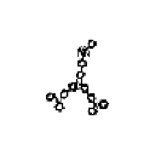 c1ccc(-c2nc(-c3ccc(-c4ccc(-n5c6ccc(-c7ccc(N(c8ccccc8)c8ccccc8)cc7)cc6c6cc(-c7ccc(N(c8ccccc8)c8ccccc8)cc7)ccc65)cc4)cc3)no2)cc1